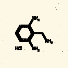 Cl.NCc1c(N)cccc1N